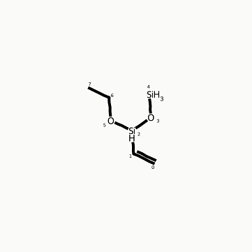 C=C[SiH](O[SiH3])OCC